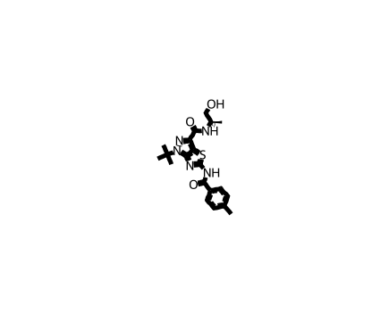 Cc1ccc(C(=O)Nc2nc3c(s2)c(C(=O)N[C@H](C)CO)nn3C(C)(C)C)cc1